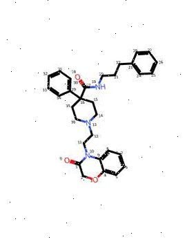 O=C1COc2ccccc2N1CCN1CCC(C(=O)NCCCc2ccccc2)(c2ccccc2)CC1